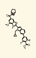 COC(=O)c1c(F)cc(-c2ccc3cc(-c4nc5cc(C(=O)N6CC7CCC6[C@@H]7C)cc(OC)c5n4C)n(CC4CC4)c3c2)cc1F